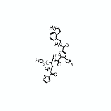 O=C(NCC(NC(=O)c1sc(C(=O)NCc2cccc3[nH]ccc23)cc1C(F)(F)F)C(=O)O)c1cccs1